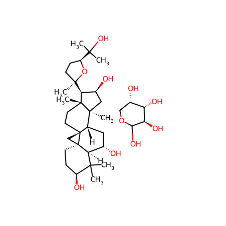 CC(C)(O)[C@@H]1CC[C@](C)([C@H]2[C@@H](O)C[C@@]3(C)[C@@H]4C[C@H](O)[C@H]5C(C)(C)[C@@H](O)CC[C@@]56C[C@@]46CC[C@]23C)O1.OC1OC[C@H](O)[C@H](O)[C@H]1O